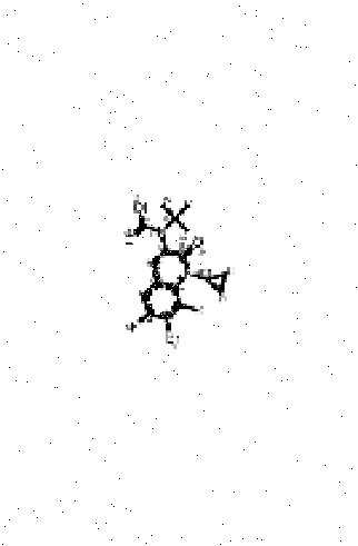 Cc1c(Br)c(F)cc2cc(N(C(=O)O)C(C)(C)C)c(=O)n(C3CC3)c12